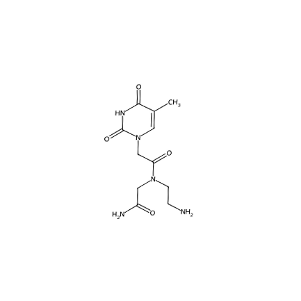 Cc1cn(CC(=O)N(CCN)CC(N)=O)c(=O)[nH]c1=O